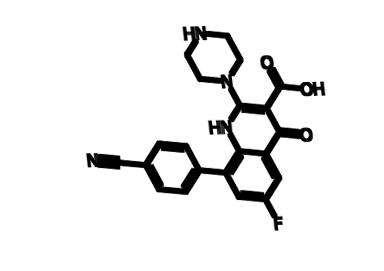 N#Cc1ccc(-c2cc(F)cc3c(=O)c(C(=O)O)c(N4CCNCC4)[nH]c23)cc1